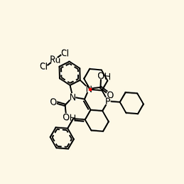 O=C(O)N1C(=C2C(=Cc3ccccc3)CCCC2P(C2CCCCC2)C2CCCCC2)N(C(=O)O)c2ccccc21.[Cl][Ru][Cl]